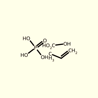 C=CC.O=C(O)O.O=P(O)(O)O